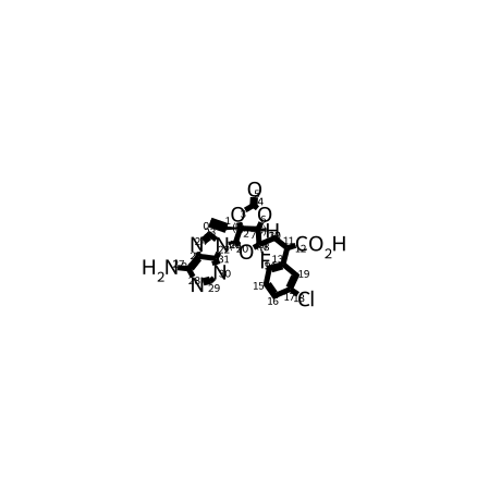 C#C[C@@]12OC(=O)O[C@@H]1[C@@](F)(CC(C(=O)O)c1cccc(Cl)c1)O[C@H]2n1cnc2c(N)ncnc21